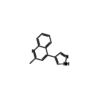 Cc1cc(-c2cn[nH]c2)c2ccccc2n1